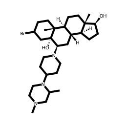 CC1CN(C)CCN1C1CCN([C@@H]2C[C@H]3[C@@H]4CC[C@H](O)[C@@]4(C)CC[C@@H]3[C@@]3(C)CCC(Br)C[C@]23O)CC1